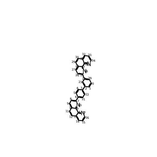 c1cc(-c2ccc(-c3ccc4ccc5cccnc5c4n3)cc2)cc(-c2ccc3ccc4cccnc4c3n2)c1